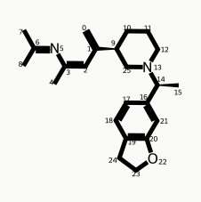 C=C(/C=C(/C)N=C(C)C)[C@H]1CCCN([C@@H](C)c2ccc3c(c2)OCC3)C1